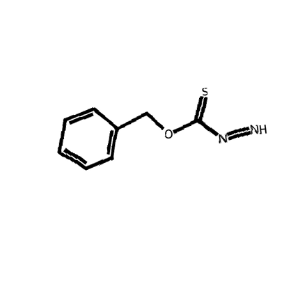 N=NC(=S)OCc1ccccc1